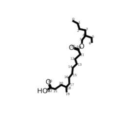 CCCCC(CC)COC(=O)CCCCCCCC(C)CCC(=O)O